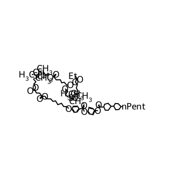 CCCCCC1CCC(C2CCC(C(=O)Oc3ccc(OC(=O)c4ccc(OCCCCCCCCOC(=O)CCC(=O)OCCC[Si](C)(C)O[Si](C)(C)CCCOC(=O)CCCCC(=O)OCCC[Si](C)(C)O[Si](C)(C)CCCOC(=O)CC)cc4)cc3)CC2)CC1